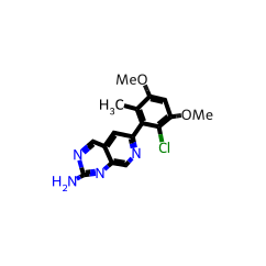 COc1cc(OC)c(Cl)c(-c2cc3cnc(N)nc3cn2)c1C